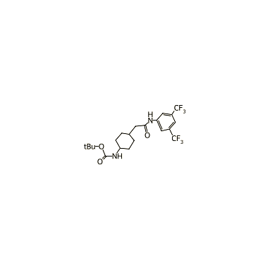 CC(C)(C)OC(=O)NC1CCC(CC(=O)Nc2cc(C(F)(F)F)cc(C(F)(F)F)c2)CC1